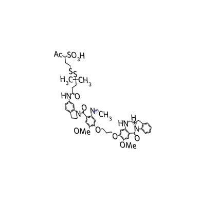 C/C=N\c1cc(OCCCOc2cc3c(cc2OC)C(=O)N2c4ccccc4C[C@H]2CN3)c(OC)cc1C(=O)N1CCc2ccc(NC(=O)CCC(C)(C)SSCCC(C(C)=O)S(=O)(=O)O)cc21